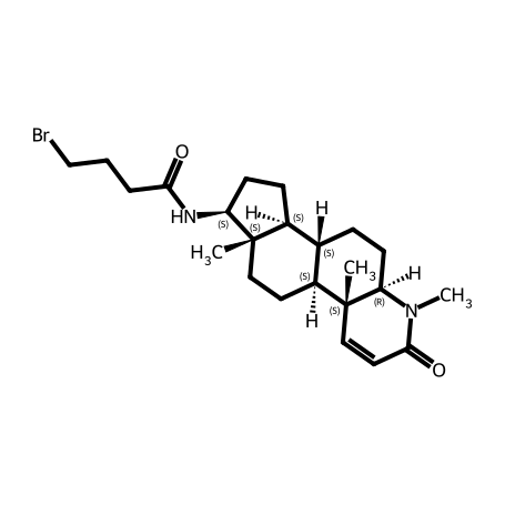 CN1C(=O)C=C[C@]2(C)[C@H]3CC[C@]4(C)[C@@H](NC(=O)CCCBr)CC[C@H]4[C@@H]3CC[C@@H]12